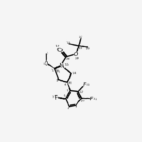 CO[C@@H]1C[C@H](c2c(F)ccc(F)c2F)CN1C(=O)OC(C)(C)C